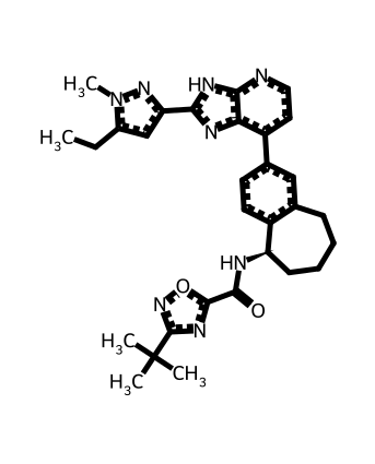 CCc1cc(-c2nc3c(-c4ccc5c(c4)CCCC[C@H]5NC(=O)c4nc(C(C)(C)C)no4)ccnc3[nH]2)nn1C